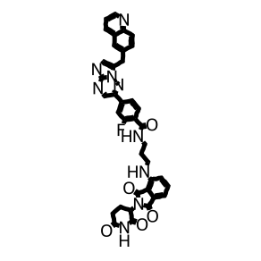 O=C1CCC(N2C(=O)c3cccc(NCCCNC(=O)c4ccc(-c5cnc6ncc(Cc7ccc8ncccc8c7)n6n5)cc4F)c3C2=O)C(=O)N1